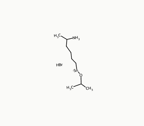 Br.CC(N)CCC[CH2][Sn][O]C(C)C